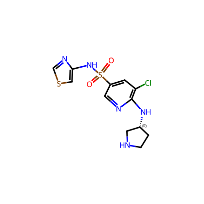 O=S(=O)(Nc1cscn1)c1cnc(N[C@@H]2CCNC2)c(Cl)c1